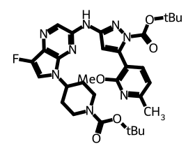 COc1nc(C)ccc1-c1cc(Nc2cnc3c(F)cn(C4CCN(C(=O)OC(C)(C)C)CC4)c3n2)nn1C(=O)OC(C)(C)C